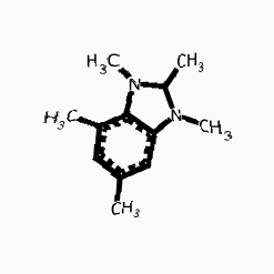 Cc1cc(C)c2c(c1)N(C)C(C)N2C